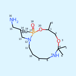 CC1COC(C)(C)NCCCCN(CCCN)P(=O)(C(C)(C)C)O1